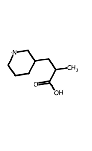 CC(CC1CCC[N]C1)C(=O)O